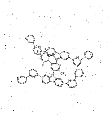 Fc1c(F)c(F)c(-c2cc(-n3c4cc(-c5cccc(-c6ccccc6)n5)ccc4c4ccc(-c5cccc(-c6ccccc6)n5)cc43)c(C(F)(F)F)cc2-n2c3cc(-c4cccc(-c5ccccc5)n4)ccc3c3ccc(-c4cccc(-c5ccccc5)n4)cc32)c(F)c1F